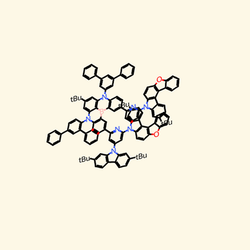 CC(C)(C)c1cc2c3c(c1)N(c1ccc(-c4ccccc4)cc1-c1ccccc1)c1ccc(-c4cc(-n5c6cc(C(C)(C)C)ccc6c6ccc(C(C)(C)C)cc65)cc(-n5c6cc(C(C)(C)C)ccc6c6c7c(ccc65)oc5ccccc57)n4)cc1B3c1cc(-c3cccc(-n4c5cc(C(C)(C)C)ccc5c5c6c(ccc54)oc4ccccc46)n3)ccc1N2c1cc(-c2ccccc2)cc(-c2ccccc2)c1